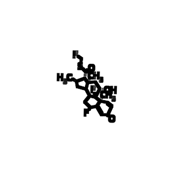 C[C@@H]1CC2C3C[C@H](F)C4=CC(=O)C=C[C@]4(C)[C@@]3(F)[C@@H](O)C[C@]2(C)[C@H]1C(=O)SCF